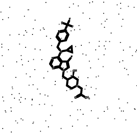 CC(=O)CN1CCC(Cn2cc(F)c3c(N(Cc4ccc(C(F)(F)F)nc4)C4CC4)ncnc32)[C@@H](O)C1